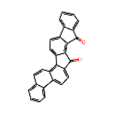 O=c1c2ccccc2c2ccc3c(c(=O)c4ccc5c6ccccc6ccc5c43)c12